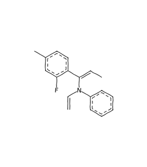 C=CN(/C(=C\C)c1ccc(C)cc1F)c1ccccc1